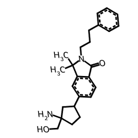 CC1(C)c2cc(C3CCC(N)(CO)C3)ccc2C(=O)N1CCCc1ccccc1